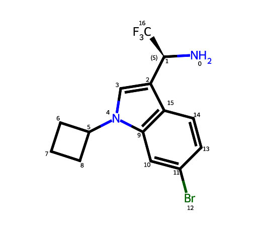 N[C@@H](c1cn(C2CCC2)c2cc(Br)ccc12)C(F)(F)F